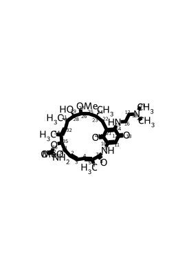 COC1/C=C\C=C(/C)C(=O)NC2=CC(=O)C(NCCN(C)C)=C(C[C@@H](C)CC(OC)[C@H](O)[C@@H](C)/C=C(\C)C1OC(N)=O)C2=O